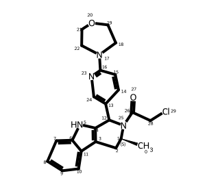 C[C@H]1Cc2c([nH]c3ccccc23)C(c2ccc(N3CCOCC3)nc2)N1C(=O)CCl